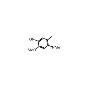 CNc1cc(OC)c(N=O)cc1C